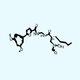 CCCCC[C@H](CN(O)C=O)C(=O)NCNC(=O)c1ccc(-c2cc(OC)cc(OC)c2)o1